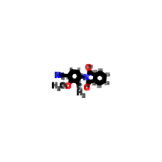 COc1c(C#N)ccc(N2C(=O)c3ccccc3C2=O)c1C